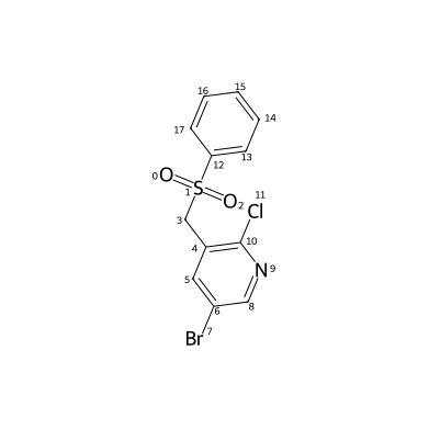 O=S(=O)(Cc1cc(Br)cnc1Cl)c1ccccc1